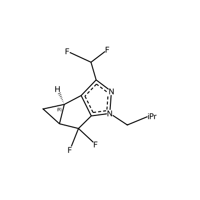 CC(C)Cn1nc(C(F)F)c2c1C(F)(F)C1C[C@@H]21